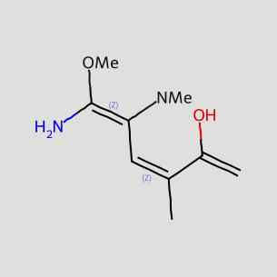 C=C(O)/C(C)=C\C(NC)=C(/N)OC